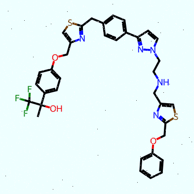 CC(O)(c1ccc(OCc2csc(Cc3ccc(-c4ccn(CCNCc5csc(COc6ccccc6)n5)n4)cc3)n2)cc1)C(F)(F)F